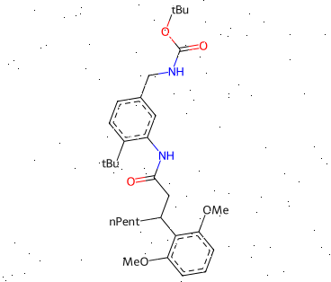 CCCCCC(CC(=O)Nc1cc(CNC(=O)OC(C)(C)C)ccc1C(C)(C)C)c1c(OC)cccc1OC